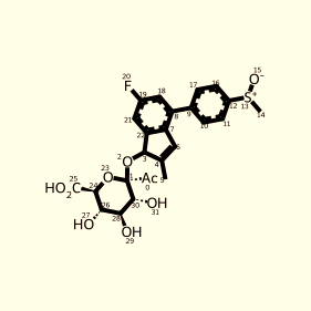 CC(=O)[C@@]1(OC2C(C)=Cc3c(-c4ccc([S+](C)[O-])cc4)cc(F)cc32)O[C@H](C(=O)O)[C@@H](O)[C@H](O)[C@H]1O